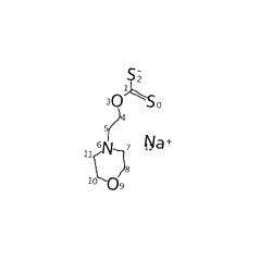 S=C([S-])OCCN1CCOCC1.[Na+]